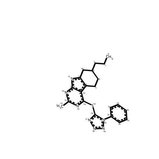 CCCC1CCc2c(sc3nc(C)nc(Sc4nnnn4-c4ccccc4)c23)C1